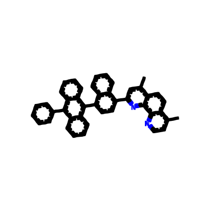 Cc1ccnc2c1ccc1c(C)cc(-c3ccc(-c4c5ccccc5c(-c5ccccc5)c5ccccc45)c4ccccc34)nc12